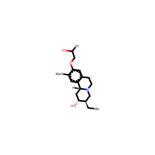 CCC(O)COc1cc2c(cc1OC)[C@H]1C[C@@H](O)[C@H](CC(C)(C)C)CN1CC2